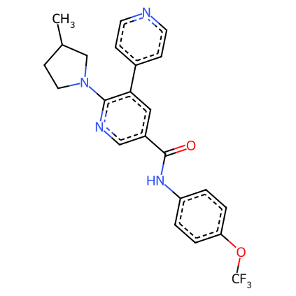 CC1CCN(c2ncc(C(=O)Nc3ccc(OC(F)(F)F)cc3)cc2-c2ccncc2)C1